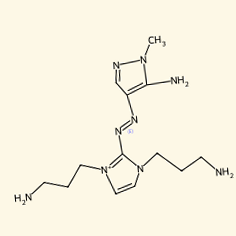 Cn1ncc(/N=N/c2n(CCCN)cc[n+]2CCCN)c1N